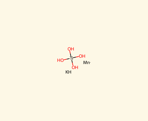 [KH].[Mn].[OH][Ti]([OH])([OH])[OH]